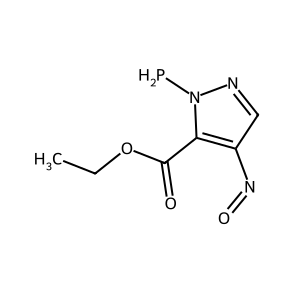 CCOC(=O)c1c(N=O)cnn1P